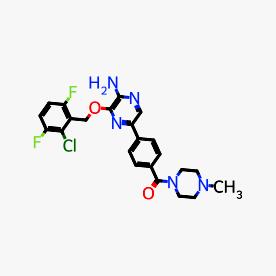 CN1CCN(C(=O)c2ccc(-c3cnc(N)c(OCc4c(F)ccc(F)c4Cl)n3)cc2)CC1